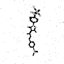 CC1=NN(c2ccc(NS(C)(=O)=O)cc2)C(=O)/C1=C(\C)C=Cc1ccc(N(C)C)cc1